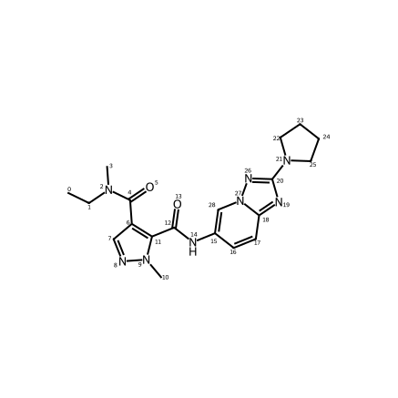 CCN(C)C(=O)c1cnn(C)c1C(=O)Nc1ccc2nc(N3CCCC3)nn2c1